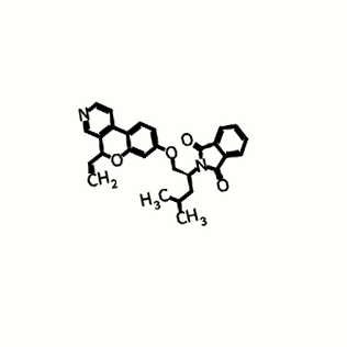 C=CC1Oc2cc(OC[C@H](CC(C)C)N3C(=O)c4ccccc4C3=O)ccc2-c2ccncc21